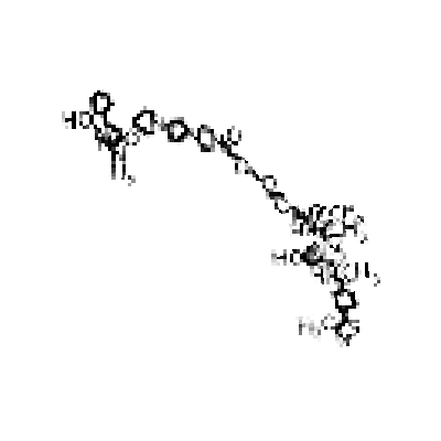 Cc1ncsc1-c1ccc([C@H](C)NC(=O)[C@@H]2C[C@@H](O)CN2C(=O)[C@@H](NC(=O)CCOCCOCCOCCC(=O)N2CCN(c3ccc(N4CCCC(Oc5cc(-c6ccccc6O)nnc5N)C4)cc3)CC2)C(C)(C)C)cc1